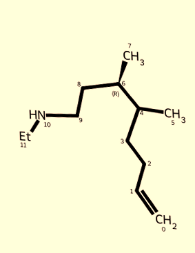 C=CCCC(C)[C@H](C)CCNCC